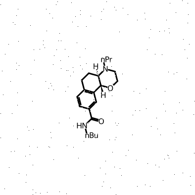 CCCCNC(=O)c1ccc2c(c1)[C@H]1OCCN(CCC)[C@@H]1CC2